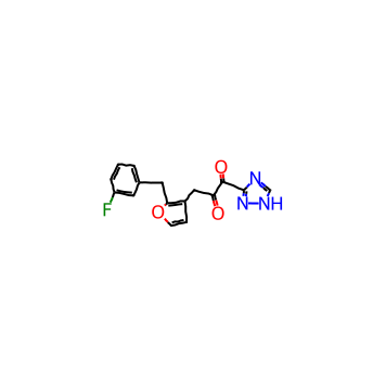 O=C(Cc1ccoc1Cc1cccc(F)c1)C(=O)c1nc[nH]n1